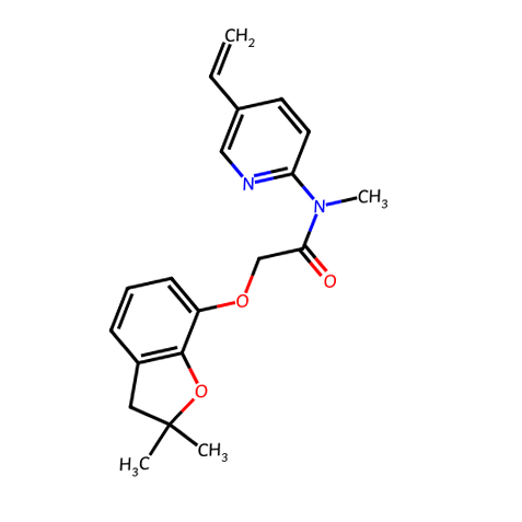 C=Cc1ccc(N(C)C(=O)COc2cccc3c2OC(C)(C)C3)nc1